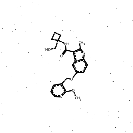 COc1ncccc1COc1ccc2sc(C)c(C(=O)NC3(CO)CCC3)c2c1